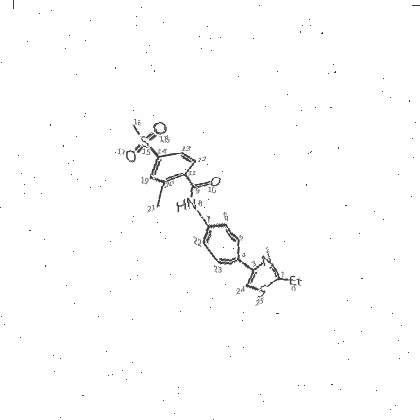 CCc1nc(-c2ccc(NC(=O)c3ccc(S(C)(=O)=O)cc3C)cc2)cs1